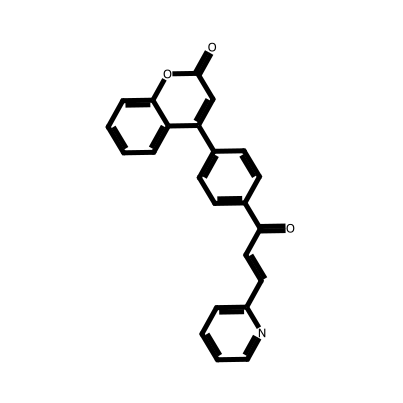 O=C(C=Cc1ccccn1)c1ccc(-c2cc(=O)oc3ccccc23)cc1